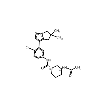 CC(=O)N[C@@H]1CCC[C@H](C(=O)Nc2cc(-c3cnn4c3CC(C)(C)C4)c(Cl)cn2)C1